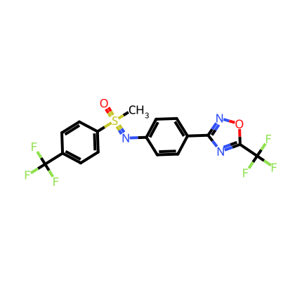 CS(=O)(=Nc1ccc(-c2noc(C(F)(F)F)n2)cc1)c1ccc(C(F)(F)F)cc1